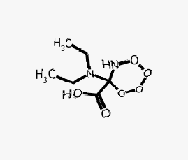 CCN(CC)C1(C(=O)O)NOOOO1